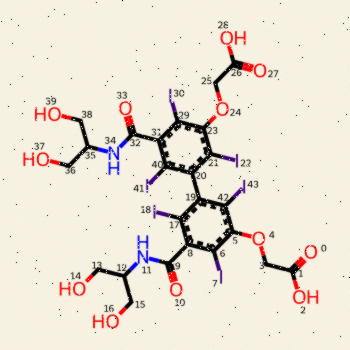 O=C(O)COc1c(I)c(C(=O)NC(CO)CO)c(I)c(-c2c(I)c(OCC(=O)O)c(I)c(C(=O)NC(CO)CO)c2I)c1I